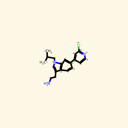 CC(C)Cn1cc(CCN)c2ccc(-c3ccnc(Cl)c3)cc21